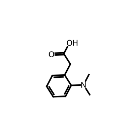 CN(C)c1ccccc1CC(=O)O